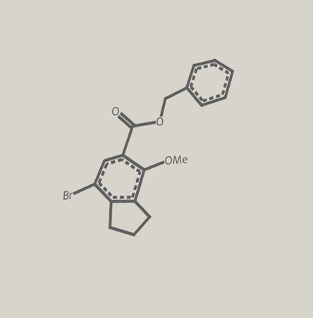 COc1c(C(=O)OCc2ccccc2)cc(Br)c2c1CCC2